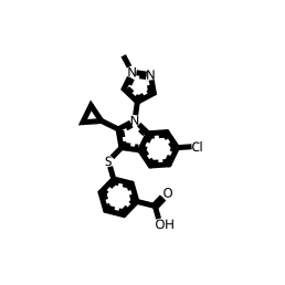 Cn1cc(-n2c(C3CC3)c(Sc3cccc(C(=O)O)c3)c3ccc(Cl)cc32)cn1